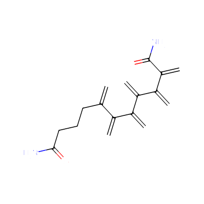 C=C(CCCC(N)=O)C(=C)C(=C)C(=C)C(=C)C(=C)C(N)=O